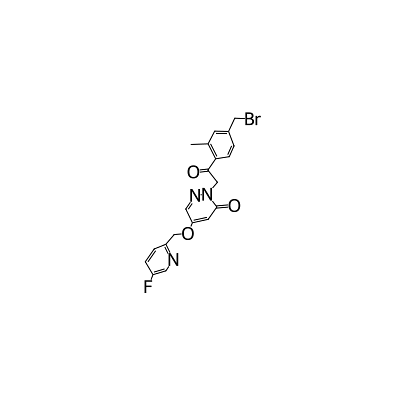 Cc1cc(CBr)ccc1C(=O)Cn1ncc(OCc2ccc(F)cn2)cc1=O